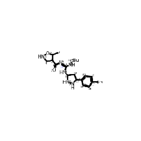 CC1ONCC1C(=O)/N=C(\NC1CC(c2ccc(F)cc2)NN1)NC(C)(C)C